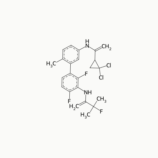 C=C(Nc1ccc(C)c(-c2ccc(F)c(NC(=C)C(C)(C)F)c2F)c1)C1CC1(Cl)Cl